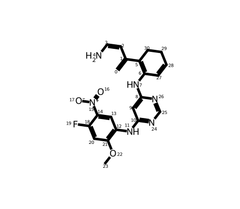 C=C(/C=C\N)C1=C(Nc2cc(Nc3cc([N+](=O)[O-])c(F)cc3OC)ncn2)C=CCC1